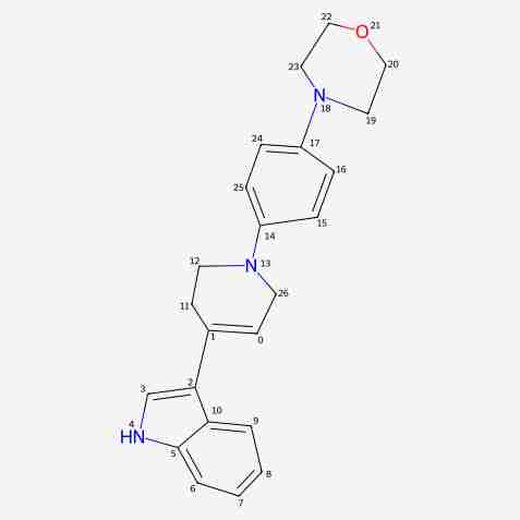 C1=C(c2c[nH]c3ccccc23)CCN(c2ccc(N3CCOCC3)cc2)C1